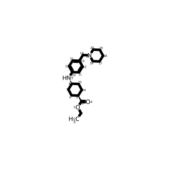 CCOC(=O)[C@H]1CC[C@H](Nc2ccc(CN3CCCCC3)cc2)CC1